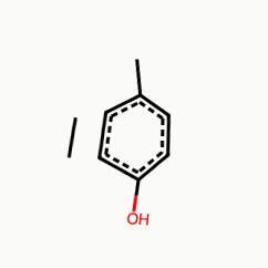 CC.Cc1ccc(O)cc1